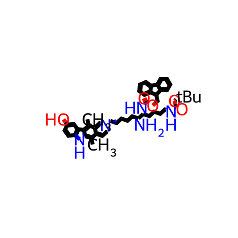 Cc1c2cc[n+](CCCCCC(N)C(CCCCNC(=O)OC(C)(C)C)NC(=O)OCC3c4ccccc4-c4ccccc43)cc2c(C)c2c1[nH]c1ccc(O)cc12